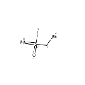 CCCS(=N)(=O)I